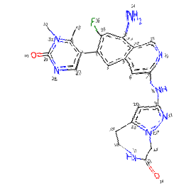 Cc1c(-c2cc3cc(Nc4cc5n(n4)CC(=O)NCC5)ncc3c(N)c2F)cnc(=O)n1C